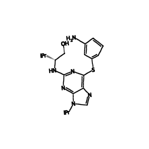 CC(C)[C@H](CO)Nc1nc(Sc2cccc(N)c2)c2ncn(C(C)C)c2n1